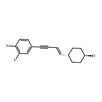 CC[C@H]1CC[C@H](C=CC#Cc2ccc(F)c(F)c2)CC1